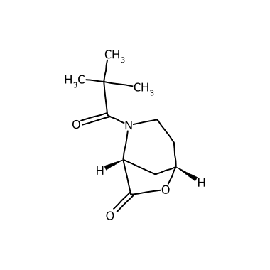 CC(C)(C)C(=O)N1CC[C@H]2C[C@@H]1C(=O)O2